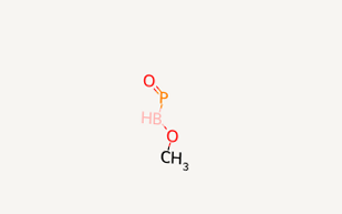 COBP=O